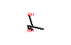 CCCCCCCC/C=C\CCCCCCCCO.Cc1ccc(C(C)C)c(O)c1